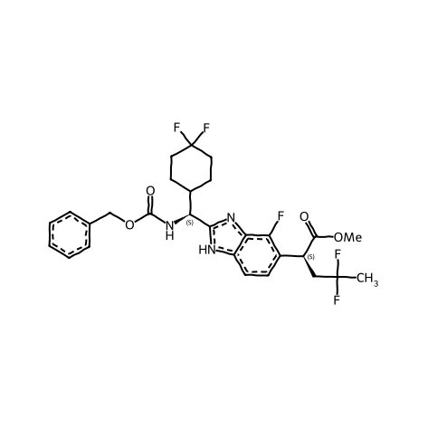 COC(=O)[C@@H](CC(C)(F)F)c1ccc2[nH]c([C@@H](NC(=O)OCc3ccccc3)C3CCC(F)(F)CC3)nc2c1F